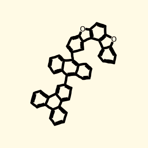 c1ccc2c(c1)oc1ccc3oc4ccc(-c5c6ccccc6c(-c6ccc7c8ccccc8c8ccccc8c7c6)c6ccccc56)cc4c3c12